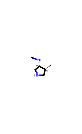 CN[C@H]1CNC[C@H]1C